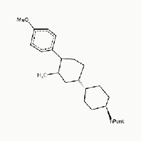 CCCCC[C@H]1CC[C@H](C2CCC(c3ccc(OC)cc3)C(C)C2)CC1